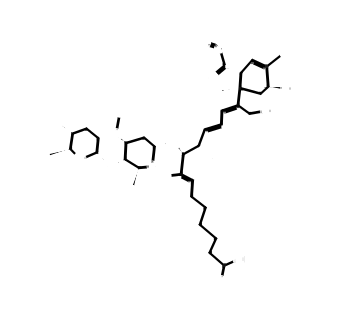 CO[C@H]1C[C@H](O[C@H](/C(C)=C/CCCCCC(O)O)[C@@H](C)/C=C/C=C(\CO)[C@]2(O)C[C@H](O)C(C)=C[C@H]2C(=O)N=O)O[C@@H](C)[C@@H]1O[C@H]1CC[C@@H](O)[C@H](C)O1